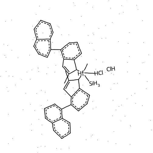 CC1=Cc2c(-c3cccc4ccccc34)cccc2[CH]1[Hf]([CH3])([CH3])([SiH3])[CH]1C(C)=Cc2c(-c3cccc4ccccc34)cccc21.Cl.Cl